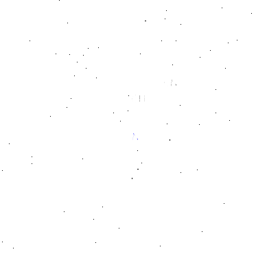 CC(Cc1ccccc1)Nc1ccccc1CC#N